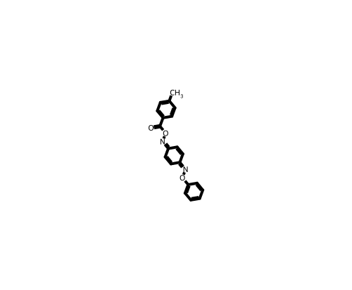 Cc1ccc(C(=O)ON=C2C=CC(=NOc3ccccc3)C=C2)cc1